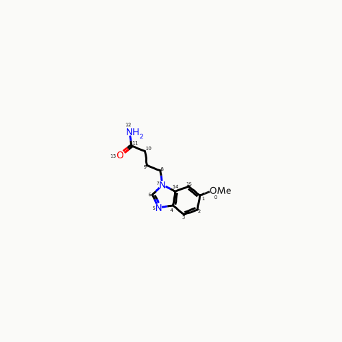 COc1ccc2ncn(CCCC(N)=O)c2c1